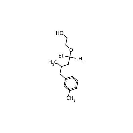 CCC(C)(CC(C)Cc1cccc(C)c1)OCCO